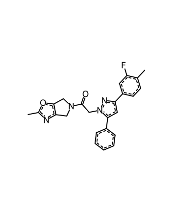 Cc1nc2c(o1)CN(C(=O)Cn1nc(-c3ccc(C)c(F)c3)cc1-c1ccccc1)C2